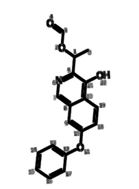 CC(OC=O)c1ncc2cc(Oc3ccccc3)ccc2c1O